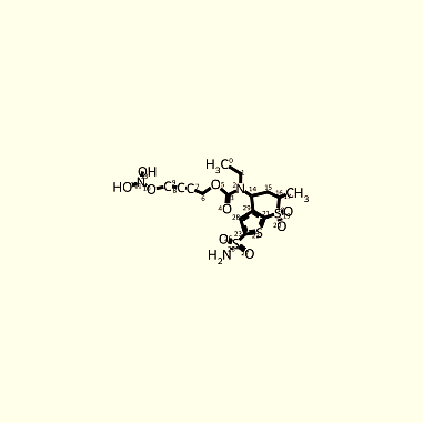 CCN(C(=O)OCCCCON(O)O)C1CC(C)S(=O)(=O)c2sc(S(N)(=O)=O)cc21